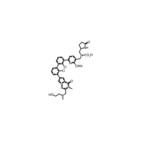 COc1nc(-c2cccc(-c3cccc(-c4cc5c(=O)n(C)c(CN(C)CCO)nn5c4)c3Cl)c2Cl)ccc1CN(CC1CCC(=O)N1)C(=O)O